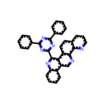 c1ccc(-c2nc(-c3ccccc3)nc(-c3nc4ccccc4c4cnc5c(ccc6cccnc65)c34)n2)cc1